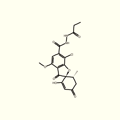 CCC(=O)NNC(=O)c1cc(OC)c2c(c1Cl)O[C@]1(C2=O)C(O)=CC(=O)C[C@H]1C